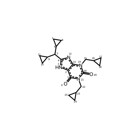 O=c1c2[nH]c(C(C3CC3)C3CC3)nc2n(CC2CC2)c(=O)n1CC1CC1